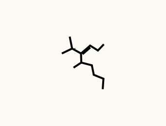 CCC=C([C](C)C)C(C)CCCC